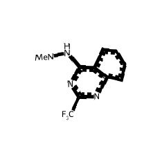 CNNc1nc(C(F)(F)F)nc2ccccc12